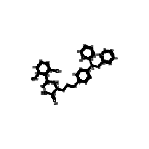 O=C(NC(CC=Cc1ccc(N(Cc2ccccn2)c2ccccn2)cc1)C(=O)O)c1c(Cl)cccc1Cl